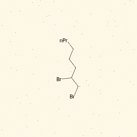 CCCCCCC(Br)[CH]Br